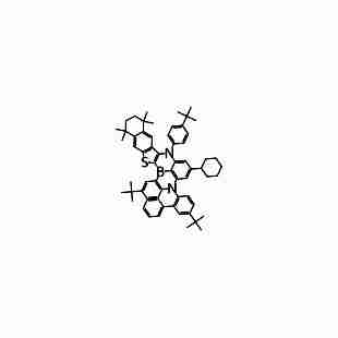 CC(C)(C)c1ccc(N2c3cc(C4CCCCC4)cc4c3B(c3cc(C(C)(C)C)ccc3N4c3ccc(C(C)(C)C)cc3-c3ccccc3)c3sc4cc5c(cc4c32)C(C)(C)CCC5(C)C)cc1